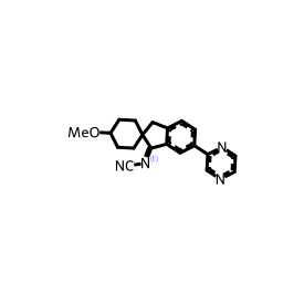 COC1CCC2(CC1)Cc1ccc(-c3cnccn3)cc1/C2=N/C#N